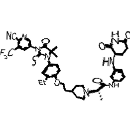 CCc1cc(N2C(=S)N(c3cnc(C#N)c(C(F)(F)F)c3)C(=O)C2(C)C)ccc1OCCC1CCN([C@@H](C)C(=O)Nc2cccc(N[C@@H]3CCC(=O)NC3=O)c2)CC1